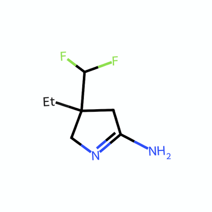 CCC1(C(F)F)CN=C(N)C1